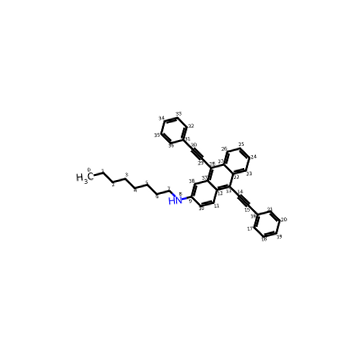 CCCCCCCCNc1ccc2c(C#Cc3ccccc3)c3ccccc3c(C#Cc3ccccc3)c2c1